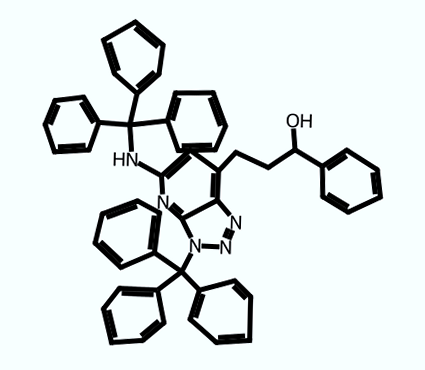 OC(CCc1cc(NC(c2ccccc2)(c2ccccc2)c2ccccc2)nc2c1nnn2C(c1ccccc1)(c1ccccc1)c1ccccc1)c1ccccc1